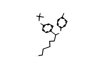 Cc1ccc(SC(CCCCCBr)c2ccc(OC(F)(F)F)cc2)cc1